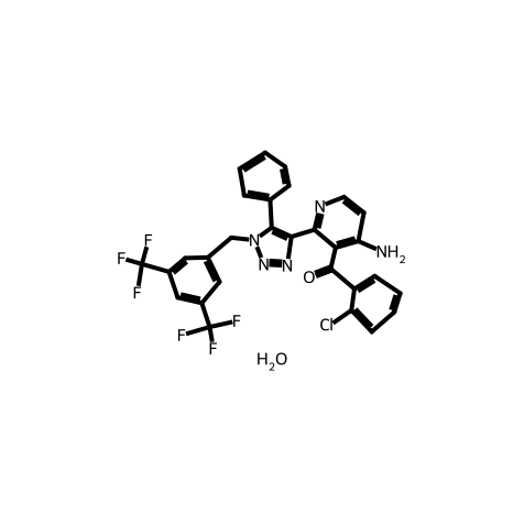 Nc1ccnc(-c2nnn(Cc3cc(C(F)(F)F)cc(C(F)(F)F)c3)c2-c2ccccc2)c1C(=O)c1ccccc1Cl.O